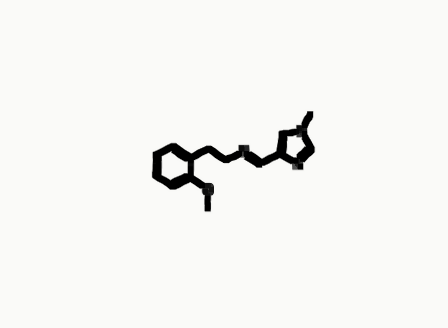 COc1ccccc1CCN=Cc1cn(C)cn1